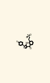 CS(=O)(=O)CCc1cccc(C(=O)c2cnn(-c3ccc(F)cc3)c2N)c1